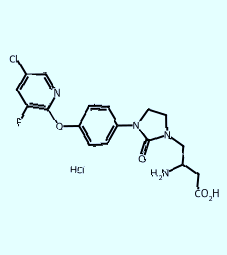 Cl.NC(CC(=O)O)CN1CCN(c2ccc(Oc3ncc(Cl)cc3F)cc2)C1=O